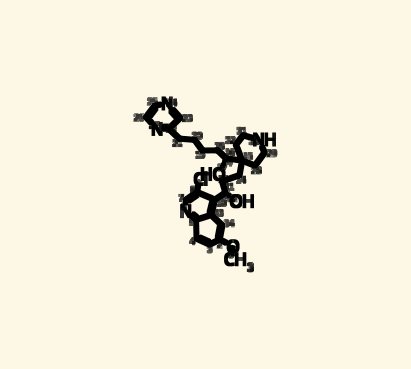 COc1ccc2ncc(Cl)c([C@H](O)CCC3([C@@H](O)CCCCc4cnccn4)CCNCC3)c2c1